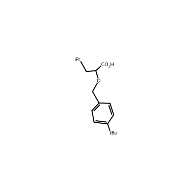 CC(C)CC(OCc1ccc(C(C)(C)C)cc1)C(=O)O